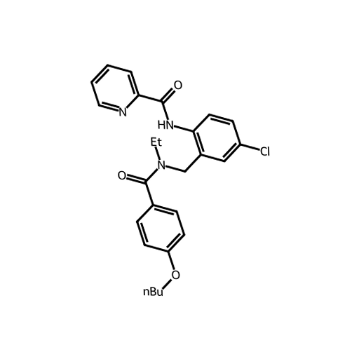 CCCCOc1ccc(C(=O)N(CC)Cc2cc(Cl)ccc2NC(=O)c2ccccn2)cc1